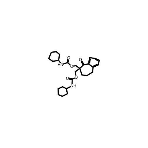 O=C(NC1CCCCC1)OCC1(COC(=O)NC2CCCCC2)CCCc2ccccc2C1=O